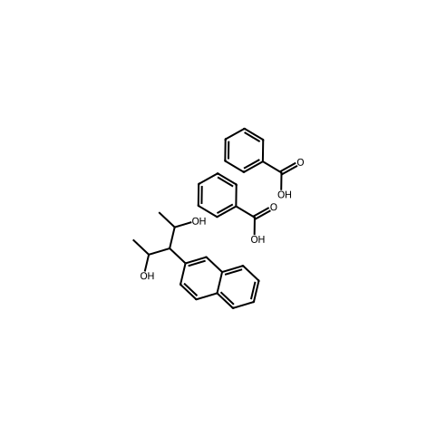 CC(O)C(c1ccc2ccccc2c1)C(C)O.O=C(O)c1ccccc1.O=C(O)c1ccccc1